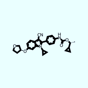 C[C@@H](OC(=O)Nc1ccc(-c2c(C#N)c3ccc(O[C@@H]4CCOC4)cc3n2C2CC2)cc1)C1CC1